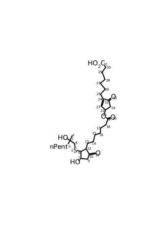 CCCCCC(C)(O)CSC1C(O)CC(=O)C1CCCCCCC(=O)OC1C=C(CCCCCCC(=O)O)C(=O)C1